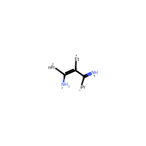 CCC/C(N)=C(\CC)C(=N)C(C)C